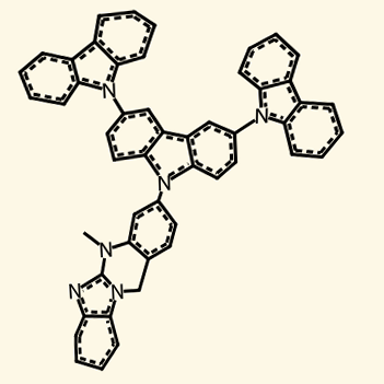 CN1c2cc(-n3c4ccc(-n5c6ccccc6c6ccccc65)cc4c4cc(-n5c6ccccc6c6ccccc65)ccc43)ccc2Cn2c1nc1ccccc12